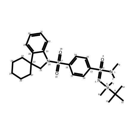 CN(C)S(=O)(=N[Si](C)(C)C(C)(C)C)c1ccc(S(=O)(=O)N2CC3(CCCCC3)c3ccccc32)cc1